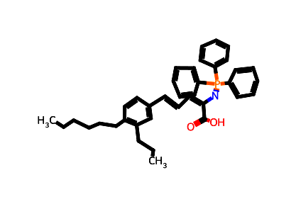 CCCCCCc1ccc(/C=C/C=C(/N=P(c2ccccc2)(c2ccccc2)c2ccccc2)C(=O)O)cc1CCC